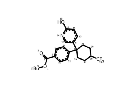 CCCCOC(=O)c1ccc(C2(c3ccc(O)nc3)CCC(C(F)(F)F)CC2)cc1